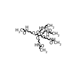 C=CC(=O)NCCCOCC(OCCCNC(=O)C=C)C(OCCCNC(=O)C=C)C(COCCCNC(=O)C=C)OCCCNC(=O)C=C